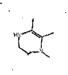 CC1=C(C)N(C)CCN1